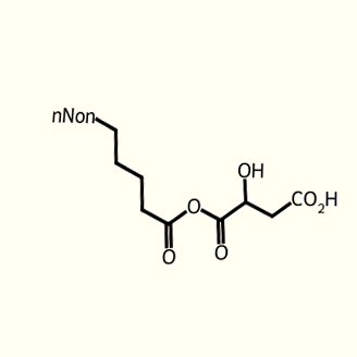 CCCCCCCCCCCCCC(=O)OC(=O)C(O)CC(=O)O